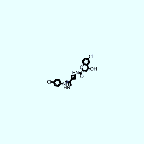 N=C/C(=C\Nc1ccc(Cl)cc1)C12CC(NC(=O)[C@@H]3C[C@@H](O)c4cc(Cl)ccc4O3)(C1)C2